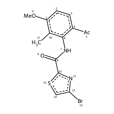 COc1ccc(C(C)=O)c(NC(=O)c2nc(Br)cs2)c1C